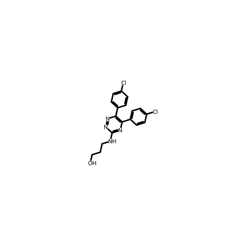 OCCCNc1nnc(-c2ccc(Cl)cc2)c(-c2ccc(Cl)cc2)n1